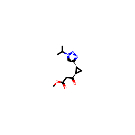 COC(=O)CC(=O)[C@@H]1C[C@H]1c1cn(C(C)C)nn1